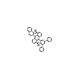 c1ccc(-c2cc(-c3ccccc3)c3sc4cccc5c4c(c3c2)c2cccc3sc4c6ccccc6ccc4c5c32)cc1